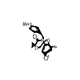 COc1ccc(CN2C(=O)C3(CC3)OCC23COc2c(Br)cc(Cl)cc23)cc1